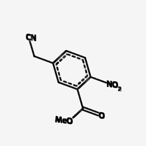 COC(=O)c1cc(CC#N)ccc1[N+](=O)[O-]